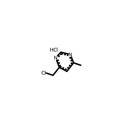 Cc1cc(CCl)ncn1.Cl